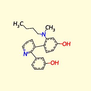 CCCCN(C)c1cc(O)ccc1-c1cccnc1-c1cccc(O)c1